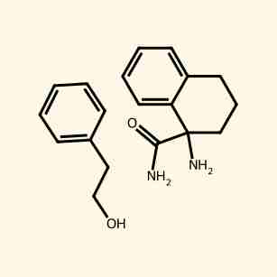 NC(=O)C1(N)CCCc2ccccc21.OCCc1ccccc1